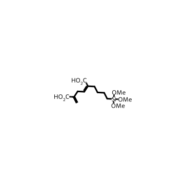 C=C(CC=C(CCCC[Si](OC)(OC)OC)C(=O)O)C(=O)O